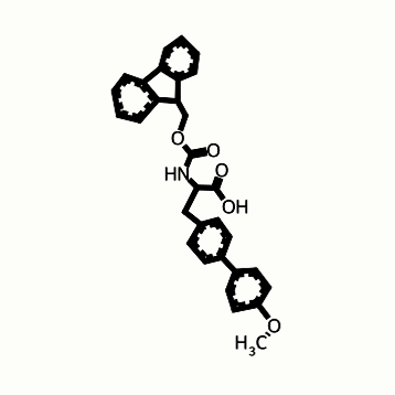 COc1ccc(-c2ccc(CC(NC(=O)OCC3c4ccccc4-c4ccccc43)C(=O)O)cc2)cc1